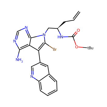 C=CC[C@H](Cn1c(Br)c(-c2cnc3ccccc3c2)c2c(N)ncnc21)NC(=O)OC(C)(C)C